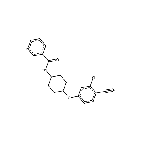 N#Cc1ccc(OC2CCC(NC(=O)c3cccnc3)CC2)cc1Cl